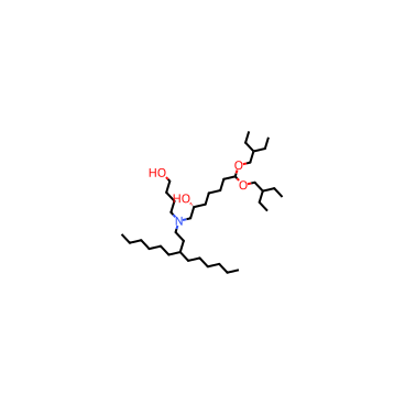 CCCCCCC(CCCCCC)CCN(CCCCO)C[C@H](O)CCCCC(OCC(CC)CC)OCC(CC)CC